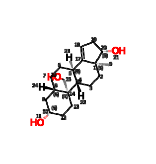 C[C@]12CC[C@H]3[C@@H](CC[C@H]4C[C@@H](O)CC[C@@]43CO)C1=CC[C@@H]2O